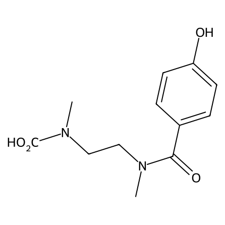 CN(CCN(C)C(=O)c1ccc(O)cc1)C(=O)O